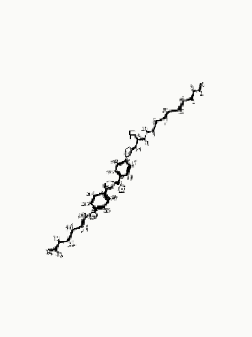 CCCCCCCCCCCCC(F)COc1ccc(C(=O)Oc2ccc(OCCCCCCC)cc2)cc1